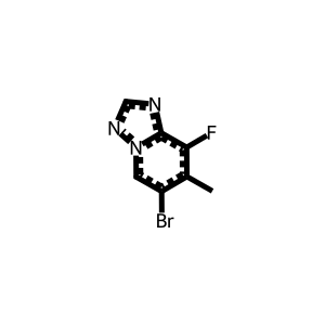 Cc1c(Br)cn2ncnc2c1F